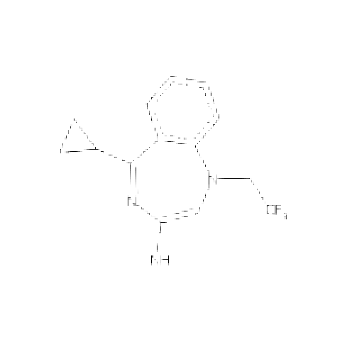 NC1=CN(CC(F)(F)F)c2ccccc2C(C2CC2)=N1